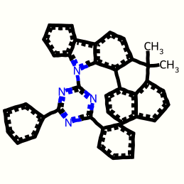 CC1(C)c2ccc3c4ccccc4n(-c4nc(-c5ccccc5)nc(-c5ccccc5)n4)c3c2-c2cccc3cccc1c23